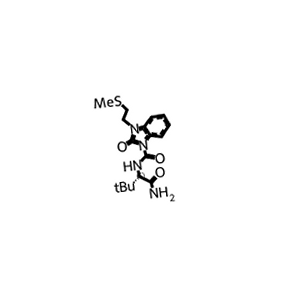 CSCCn1c(=O)n(C(=O)N[C@H](C(N)=O)C(C)(C)C)c2ccccc21